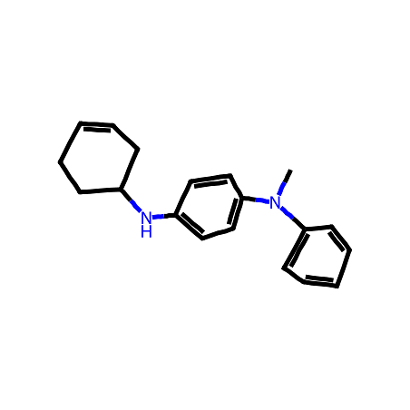 CN(c1ccccc1)c1ccc(NC2CC=CCC2)cc1